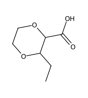 CCC1OCCOC1C(=O)O